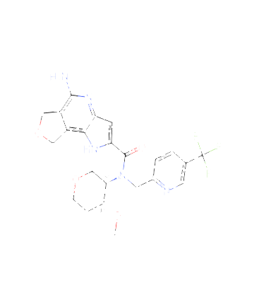 CO[C@@H]1CCOC[C@H]1N(Cc1ccc(C(F)(F)F)cn1)C(=O)c1cc2nc(N)c3c(c2[nH]1)COC3